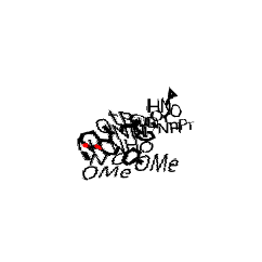 CCC[C@H](NC(=O)[C@@H]1C[C@@H](Oc2cccc(OC)c2OC)CN1C(=O)[C@@H](NC(=O)[C@@H](NC(=O)c1cnccn1)C1CCCCC1)C(C)(C)C)C(=O)C(=O)NC1CC1